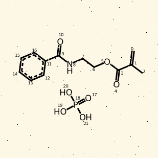 C=C(C)C(=O)OCCNC(=O)c1ccccc1.O=P(O)(O)O